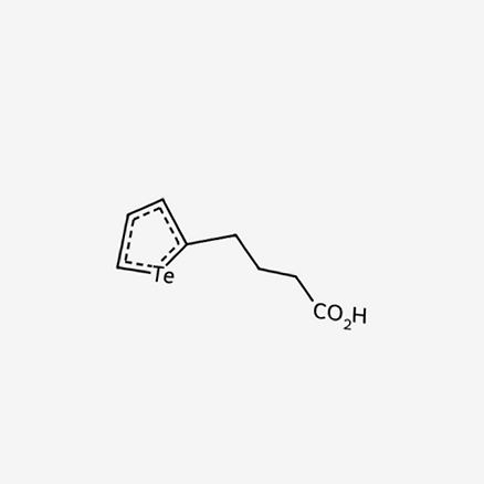 O=C(O)CCCc1ccc[te]1